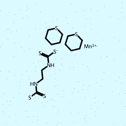 C1CCSCC1.C1CCSCC1.S=C([S-])NCCNC(=S)[S-].[Mn+2]